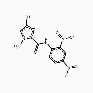 C[n+]1cc(O)o[n+]1C(=O)Nc1ccc([N+](=O)[O-])cc1[N+](=O)[O-]